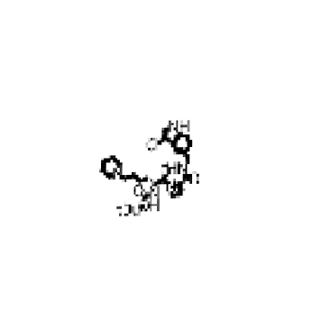 CC(C)(C)OC(=O)N[C@H](CCCCN1CCCCC1)C(=O)N1CC[C@H]1C(=O)NCc1ccc2[nH]cc(Cl)c2c1